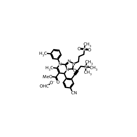 COC(=O)C1=C(C)N(c2cccc(C)c2)c2nn(CCCS(C)(=O)=O)c(=O)n2C1c1ccc(C#N)cc1C#CC[N+](C)(C)C.O=C[O-]